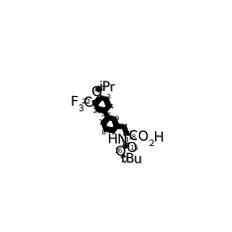 CC(C)Oc1ccc(-c2cccc(C[C@H](NC(=O)OC(C)(C)C)C(=O)O)c2)cc1C(F)(F)F